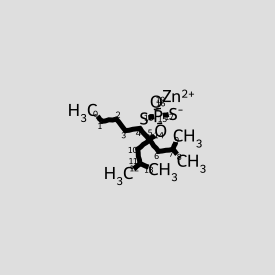 CCCCCC(CC(C)C)(CC(C)C)OP(=O)([S-])[S-].[Zn+2]